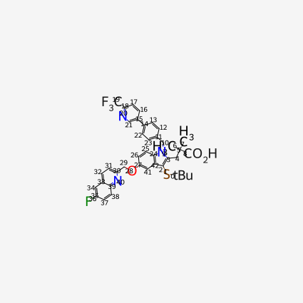 CC(C)(C)Sc1c(CC(C)(C)C(=O)O)n(Cc2ccc(-c3ccc(C(F)(F)F)nc3)cc2)c2ccc(OCc3ccc4cc(F)ccc4n3)cc12